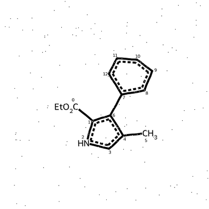 CCOC(=O)c1[nH]cc(C)c1-c1ccccc1